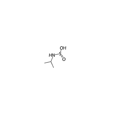 CC(C)NS(=O)O